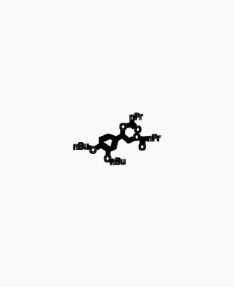 CCCCOc1ccc(C(COC(=O)CCC)OC(=O)CCC)cc1OCCCC